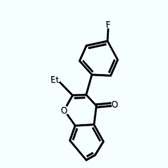 CCc1oc2ccccc2c(=O)c1-c1ccc(F)cc1